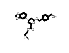 C=CCOC(=O)C1=C[C@H](c2ccc3c(c2)OCO3)C[C@H](OCc2ccc(CO)cc2)O1